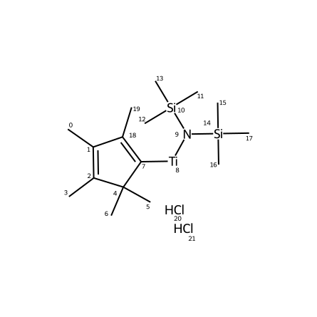 CC1=C(C)C(C)(C)[C]([Ti][N]([Si](C)(C)C)[Si](C)(C)C)=C1C.Cl.Cl